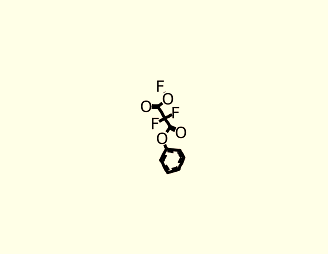 O=C(OF)C(F)(F)C(=O)Oc1ccccc1